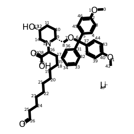 COc1ccc(C(OC[C@H]2CC[C@@H](O)CN2C(CCCCCCCCCC=O)C(=O)O)(c2ccccc2)c2ccc(OC)cc2)cc1.[Li]